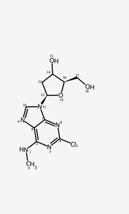 CNc1nc(Cl)nc2c1ncn2[C@H]1CC(O)[C@@H](CO)O1